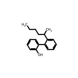 CCCCC(C)c1ccccc1-c1ccccc1O